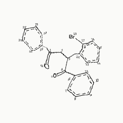 O=C(CC(C(=O)c1ccccc1)c1ccccc1Br)c1ccccc1